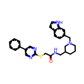 O=C(CSc1ncc(-c2ccccc2)cn1)NCC1CCCN(Cc2ccc3cc[nH]c3c2)C1